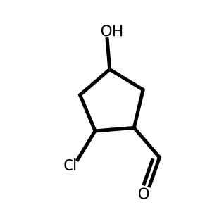 O=CC1CC(O)CC1Cl